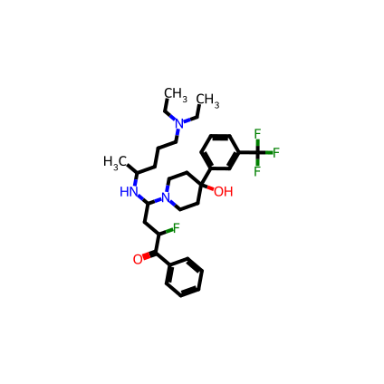 CCN(CC)CCCC(C)NC(CC(F)C(=O)c1ccccc1)N1CCC(O)(c2cccc(C(F)(F)F)c2)CC1